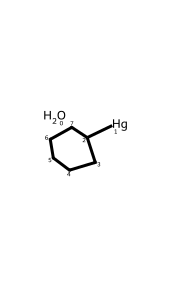 O.[Hg][CH]1CCCCC1